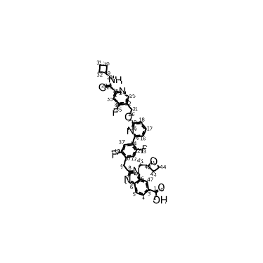 O=C(O)c1ccc2nc(Cc3cc(F)c(-c4cccc(OCc5cnc(C(=O)NC6CCC6)cc5F)n4)cc3F)n(C[C@@H]3CCO3)c2c1